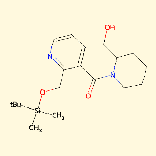 CC(C)(C)[Si](C)(C)OCc1ncccc1C(=O)N1CCCCC1CO